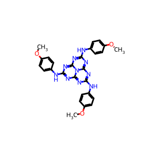 COc1ccc(NC2=NC3=NC(Nc4ccc(OC)cc4)=NC4=NC(Nc5ccc(OC)cc5)=NC(=N2)N34)cc1